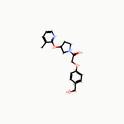 Cc1cccnc1OC1CCN(C(=O)COc2ccc(CO)cc2)C1